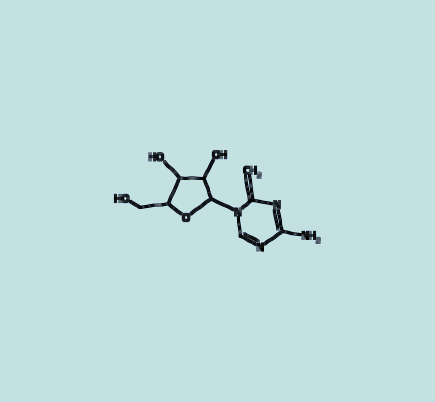 C=C1N=C(N)N=CN1C1OC(CO)C(O)C1O